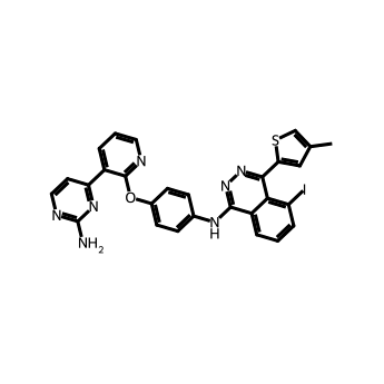 Cc1csc(-c2nnc(Nc3ccc(Oc4ncccc4-c4ccnc(N)n4)cc3)c3cccc(I)c23)c1